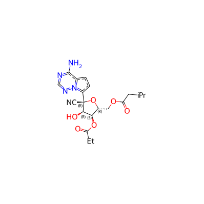 CCC(=O)O[C@H]1[C@@H](O)[C@](C#N)(c2ccc3c(N)ncnn23)O[C@@H]1COC(=O)CC(C)C